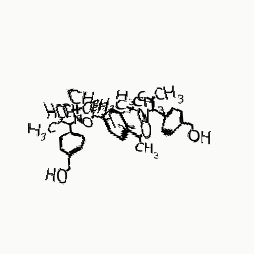 CC(ON(C(c1ccc(CO)cc1)C(C)C)C(C)(C)C)c1ccc(C(C)ON(C(c2ccc(CO)cc2)C(C)C)C(C)(C)C)cc1